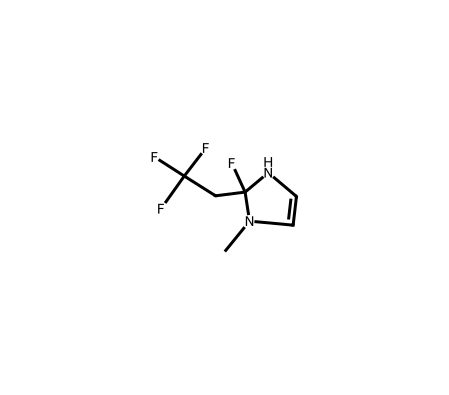 CN1C=CNC1(F)CC(F)(F)F